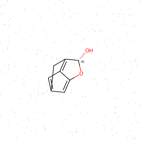 O[C@@H]1OC2=CC3=CC2=C1C3